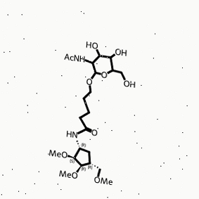 COC[C@H]1C[C@@H](NC(=O)CCCCOC2OC(CO)C(O)C(O)C2NC(C)=O)[C@H](OC)[C@@H]1OC